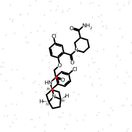 NC(=O)C1CCCN(C(=O)c2cc(Cl)ccc2OCC(=O)N[C@H]2C[C@H]3CC[C@@H](C2)N3Cc2ccc(Cl)cc2)C1